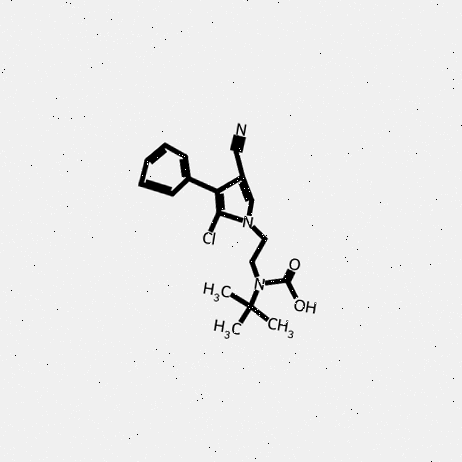 CC(C)(C)N(CCn1cc(C#N)c(-c2ccccc2)c1Cl)C(=O)O